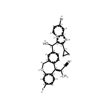 C/C(C#N)=C1/c2ccc(C(O)c3c(C4CC4)nc4cc(Br)ccn34)cc2COc2cc(F)ccc21